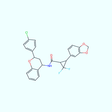 O=C(NC1CC(c2ccc(Cl)cc2)Oc2ccccc21)C1C(c2ccc3c(c2)OCO3)C1(F)F